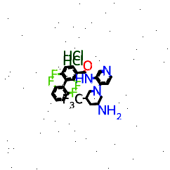 Cl.Cl.N[C@H]1C[C@@H](C(F)(F)F)CN(c2ccncc2NC(=O)c2ccc(F)c(-c3c(F)cccc3F)c2F)C1